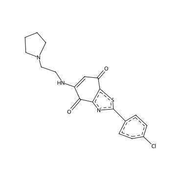 O=C1C(NCCN2CCCC2)=CC(=O)c2sc(-c3ccc(Cl)cc3)nc21